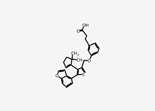 CC1(C)CCC=C1c1c(COc2cccc(CCC(=O)O)c2)csc1-c1cccc2occc12